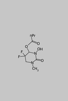 CCCC(=O)OC1N(O)C(=O)N(C)CC1(F)F